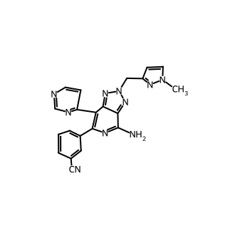 Cn1ccc(Cn2nc3c(N)nc(-c4cccc(C#N)c4)c(-c4ccncn4)c3n2)n1